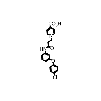 O=C(CCN1C=CC(C(=O)O)=CC1)Nc1cccc(Oc2ccc(Cl)cc2)c1